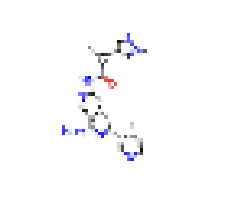 Cc1ccncc1-c1cc2cc(NC(=O)C3C(C)C3c3cnn(C)c3)ncc2c(N)n1